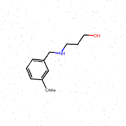 COc1cccc(CNCCCO)c1